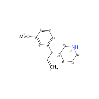 C=CC(c1cccc(OC)c1)C1CCCNC1